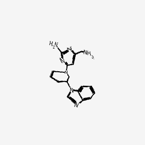 Nc1cc(N2CCCC(n3cnc4ccccc43)C2)nc(N)n1